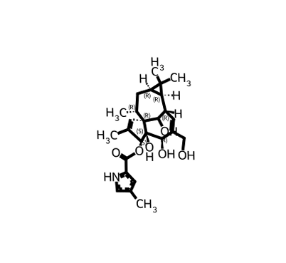 CC1=C[C@]23C(O)[C@@H](C=C(CO)[C@@H](O)[C@]2(O)[C@H]1OC(=O)c1cc(C)c[nH]1)[C@H]1[C@@H](C[C@H]3C)C1(C)C